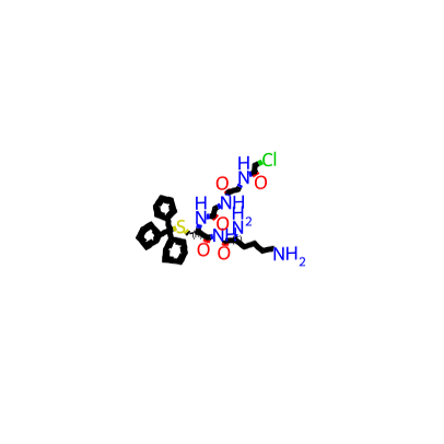 NCCCC[C@H](N)C(=O)NC(=O)[C@H](CSC(c1ccccc1)(c1ccccc1)c1ccccc1)NC(=O)CNC(=O)CNC(=O)CCl